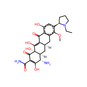 CCN1CCC[C@@H]1c1cc(O)c2c(c1OC)C[C@H]1C[C@H]3[C@H](N)C(O)=C(C(N)=O)C(=O)[C@@]3(O)C(O)=C1C2=O